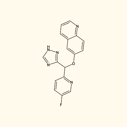 Fc1ccc(C(Oc2ccc3ncccc3c2)c2nc[nH]n2)nc1